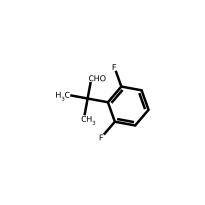 CC(C)(C=O)c1c(F)cccc1F